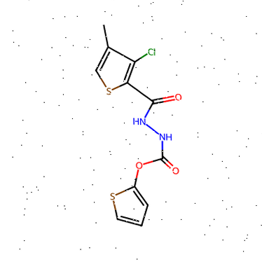 Cc1csc(C(=O)NNC(=O)Oc2cccs2)c1Cl